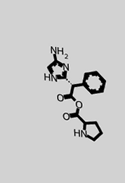 Nc1c[nH]c([C@@H](C(=O)OC(=O)C2CCCN2)c2ccccc2)n1